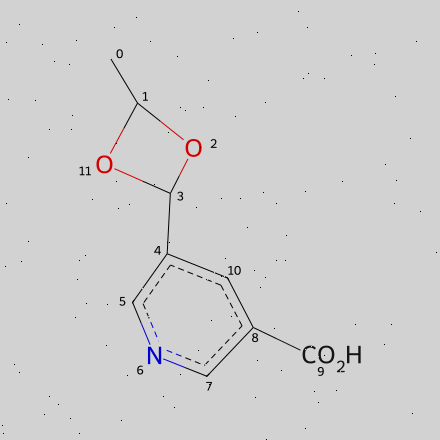 CC1OC(c2cncc(C(=O)O)c2)O1